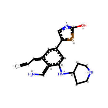 C=C/C=c1/cc(-c2cnc(O)s2)cc(NC2CCNCC2)/c1=C/N